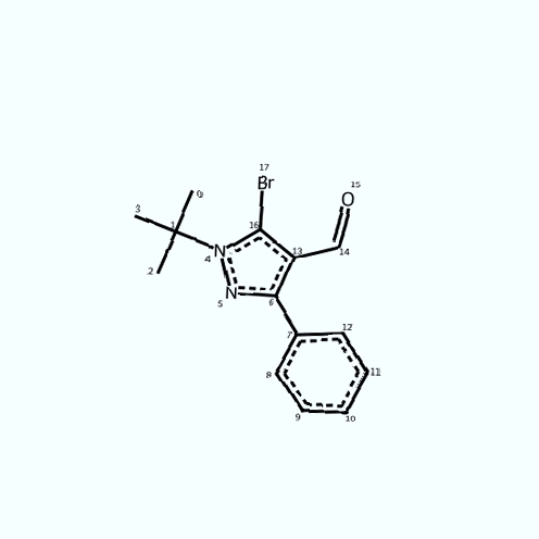 CC(C)(C)n1nc(-c2ccccc2)c(C=O)c1Br